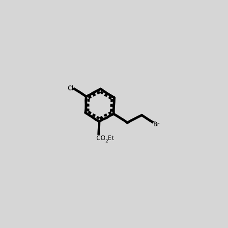 CCOC(=O)c1cc(Cl)ccc1CCBr